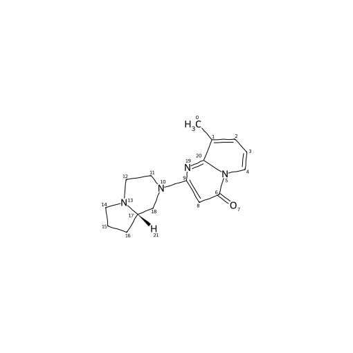 Cc1cccn2c(=O)cc(N3CCN4CCC[C@H]4C3)nc12